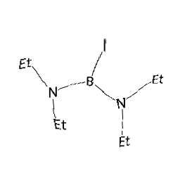 CCN(CC)B(I)N(CC)CC